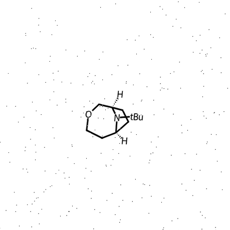 CC(C)(C)N1[C@@H]2CCOC[C@H]1CC2